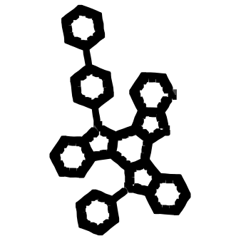 c1ccc(-c2ccc(-n3c4ccccc4c4c5c(c6ccccc6n5-c5ccccc5)c5sc6ncccc6c5c43)cc2)cc1